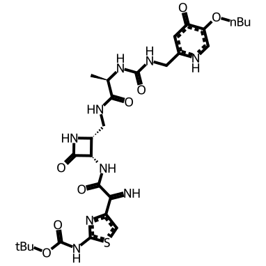 CCCCOc1c[nH]c(CNC(=O)N[C@H](C)C(=O)NC[C@H]2NC(=O)[C@H]2NC(=O)C(=N)c2csc(NC(=O)OC(C)(C)C)n2)cc1=O